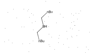 CCCCCBCCCCC